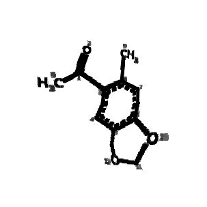 CC(=O)c1cc2c(cc1C)OCO2